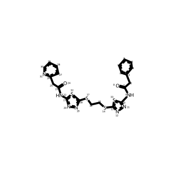 O=C(Cc1ccccc1)Nc1nnc(SCCSc2nnc(NC(=O)Cc3ccccn3)s2)s1